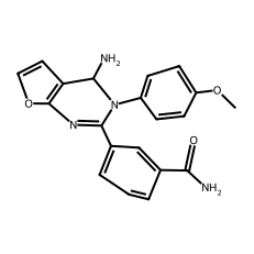 COc1ccc(N2C(c3cccc(C(N)=O)c3)=Nc3occc3C2N)cc1